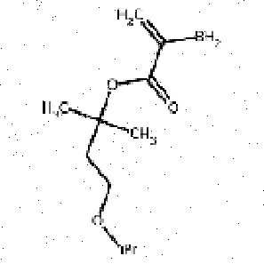 BC(=C)C(=O)OC(C)(C)CCOC(C)C